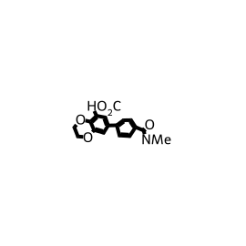 CNC(=O)c1ccc(-c2cc3c(c(C(=O)O)c2)OCCO3)cc1